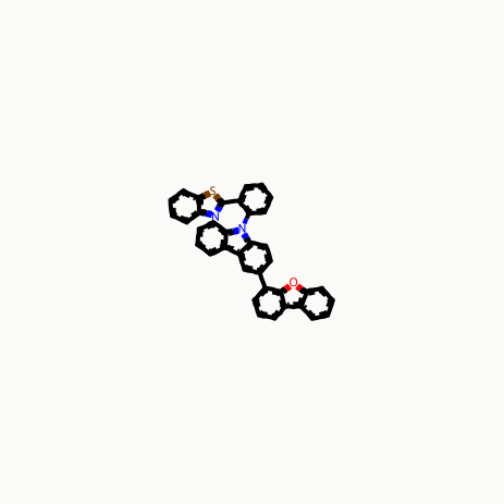 c1ccc(-n2c3ccccc3c3cc(-c4cccc5c4oc4ccccc45)ccc32)c(-c2nc3ccccc3s2)c1